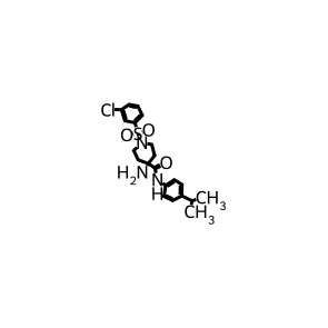 CC(C)c1ccc(NC(=O)C2(N)CCN(S(=O)(=O)c3cccc(Cl)c3)CC2)cc1